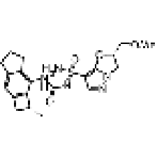 COC[C@@H]1Cn2ncc([S@@](N)(=O)=NC(=O)Nc3c4c(cc5c3[C@H](C)C5)CCC4)c2O1